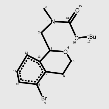 CN(CC1OCCc2c(Br)cccc21)C(=O)OC(C)(C)C